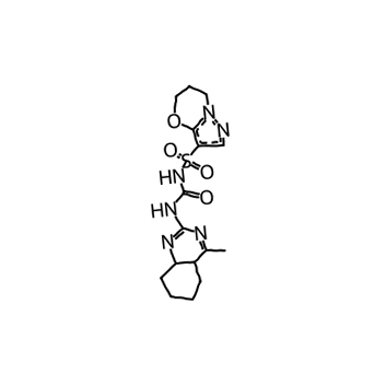 CC1=NC(NC(=O)NS(=O)(=O)c2cnn3c2OCCC3)=NC2CCCCC12